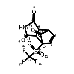 O=C1NC(=O)C2C1C1C=CC2(S(=O)(=O)C(F)(F)F)C1=O